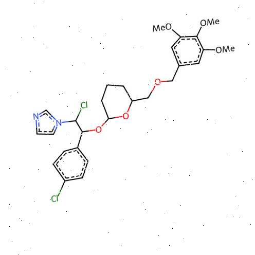 COc1cc(COCC2CCCC(OC(c3ccc(Cl)cc3)C(Cl)n3ccnc3)O2)cc(OC)c1OC